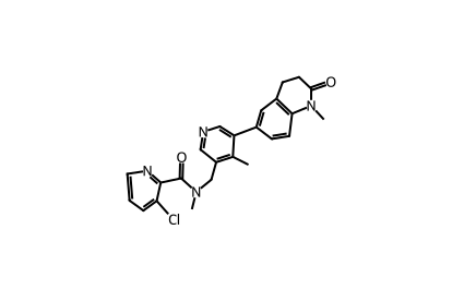 Cc1c(CN(C)C(=O)c2ncccc2Cl)cncc1-c1ccc2c(c1)CCC(=O)N2C